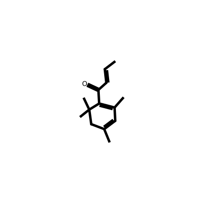 CC=CC(=O)C1=C(C)C=C(C)CC1(C)C